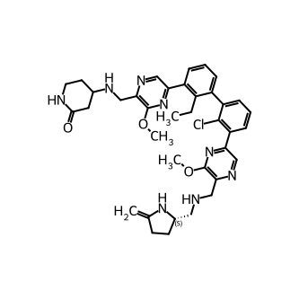 C=C1CC[C@@H](CNCc2ncc(-c3cccc(-c4cccc(-c5cnc(CNC6CCNC(=O)C6)c(OC)n5)c4CC)c3Cl)nc2OC)N1